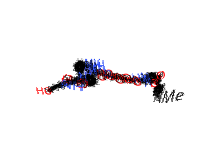 CNc1ccc(-c2cc(=O)c3ccc4[nH]c(CCOCCOCCOCCOCCOCCN(N)/C5=C(\N)c6ccccc6CN(C(=O)CCC(=O)NCCCCCCO)c6ccccc65)nc4c3o2)cc1